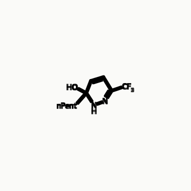 CCCCCC1(O)C=CC(C(F)(F)F)=NN1